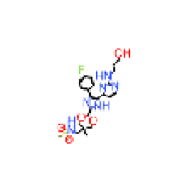 CC1(CNS(C)(=O)=O)COC(c2nc(-c3ccc(F)cc3)c(-c3ccnc(NCCCO)n3)[nH]2)OC1